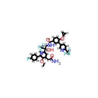 CCOc1c(CC(N)=O)cc([C@@](O)(CNC(=O)c2ccc(OC3CC3)c(-c3ccc(C(F)(F)F)nc3)c2)C(F)(F)F)nc1-c1ccc(F)cc1